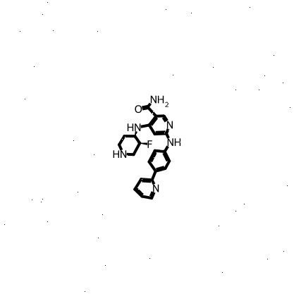 NC(=O)c1cnc(Nc2ccc(-c3ccccn3)cc2)cc1N[C@@H]1CCNC[C@@H]1F